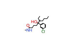 CCCC[C@H](CC)[C@@](O)(CCCC(=O)NC)c1cccc(Cl)c1